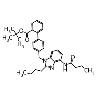 CCCCc1nc2c(NC(=O)CCC)cccc2n1Cc1ccc(-c2ccccc2C(=O)OC(C)(C)C)cc1